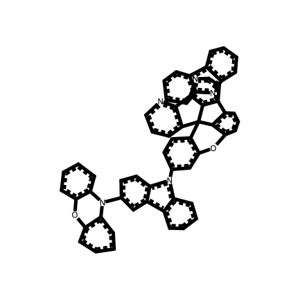 c1ccc2c(c1)Oc1ccccc1N2c1ccc2c(c1)c1ccccc1n2-c1ccc2c(c1)Oc1cccc(-n3c4ccccc4c4ccccc43)c1C21c2cccnc2-c2ncccc21